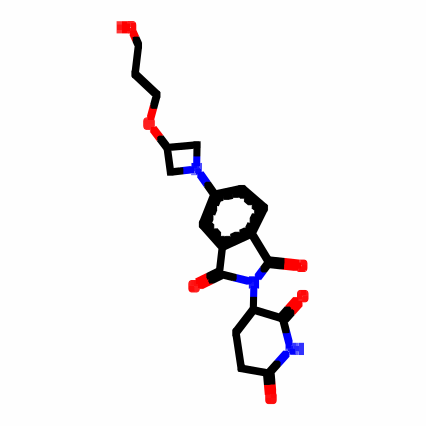 O=C1CCC(N2C(=O)c3ccc(N4CC(OCCCO)C4)cc3C2=O)C(=O)N1